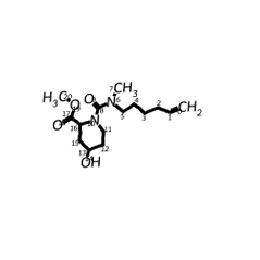 C=CCCCCN(C)C(=O)N1CCC(O)CC1C(=O)OC